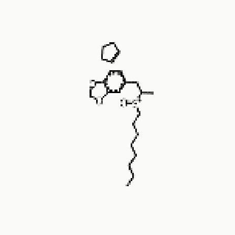 C1=CCCC1.CCCCCCCC[S+]([O-])C(C)Cc1ccc2c(c1)OCO2